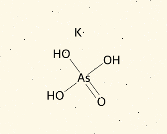 O=[As](O)(O)O.[K]